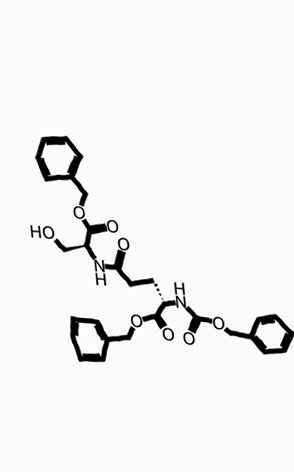 O=C(CC[C@H](NC(=O)OCc1ccccc1)C(=O)OCc1ccccc1)N[C@@H](CO)C(=O)OCc1ccccc1